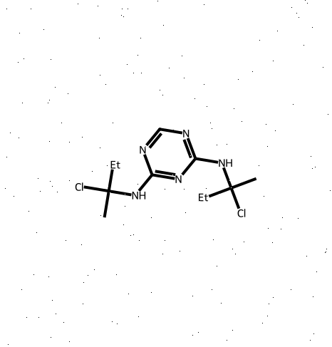 CCC(C)(Cl)Nc1ncnc(NC(C)(Cl)CC)n1